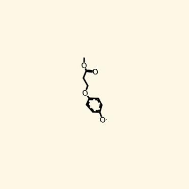 COC(=O)CCOc1ccc([O])cc1